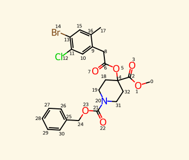 COC(=O)C1(OC(=O)Cc2cc(Cl)c(Br)cc2C)CCN(C(=O)OCc2ccccc2)CC1